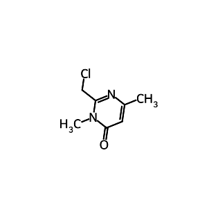 Cc1cc(=O)n(C)c(CCl)n1